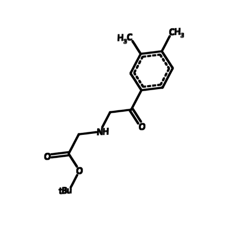 Cc1ccc(C(=O)CNCC(=O)OC(C)(C)C)cc1C